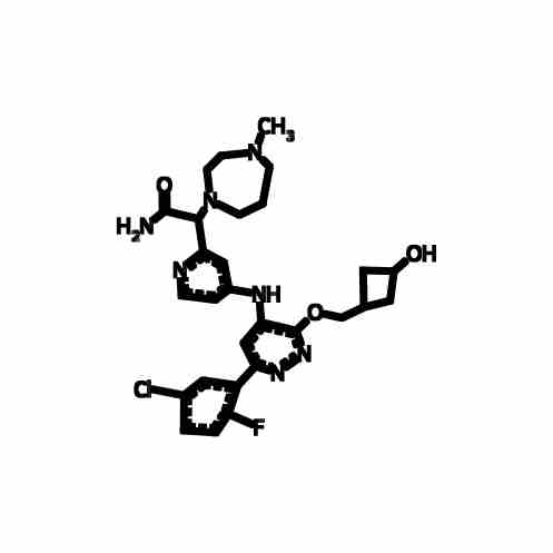 CN1CCCN(C(C(N)=O)c2cc(Nc3cc(-c4cc(Cl)ccc4F)nnc3OCC3CC(O)C3)ccn2)CC1